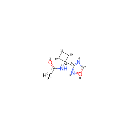 CC(=O)NC1(c2ncon2)CCC1